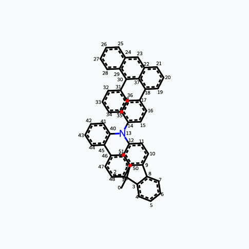 CC1(C)c2ccccc2-c2ccc(N(c3ccc(-c4cccc5cc6ccccc6c(-c6ccccc6)c45)cc3)c3ccccc3-c3ccccc3)cc21